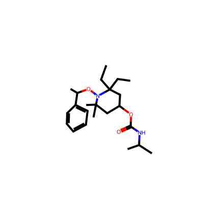 CCC1(CC)CC(OC(=O)NC(C)C)CC(C)(C)N1OC(C)c1ccccc1